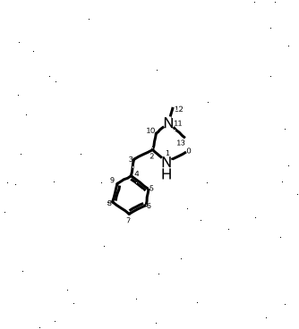 CNC(Cc1ccccc1)CN(C)C